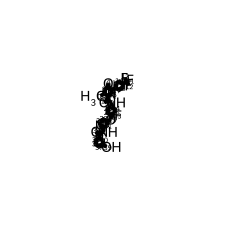 Cc1cc(=O)n(-c2ccc(C(F)(F)F)cc2)nc1C(=O)Nc1ccc(Oc2ccnc(NC(=O)N3C=CC=C(O)C3)c2)c(F)c1